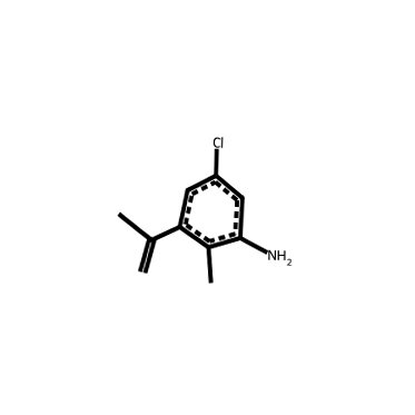 C=C(C)c1cc(Cl)cc(N)c1C